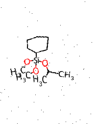 CO[Si](OC)(OC(C)C)C1CCCCC1